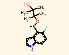 CC(C)(O)C(C)(C)OBc1c(F)ccc2[nH]ccc12